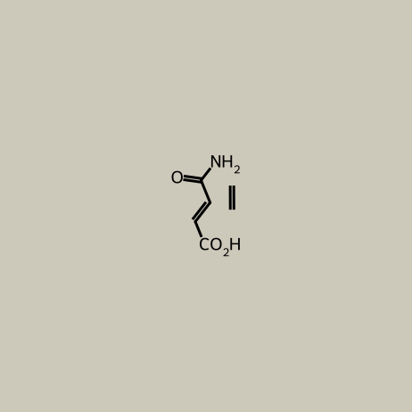 C=C.NC(=O)C=CC(=O)O